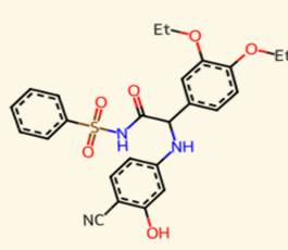 CCOc1ccc(C(Nc2ccc(C#N)c(O)c2)C(=O)NS(=O)(=O)c2ccccc2)cc1OCC